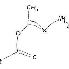 CCC(=O)OC(C)=NN